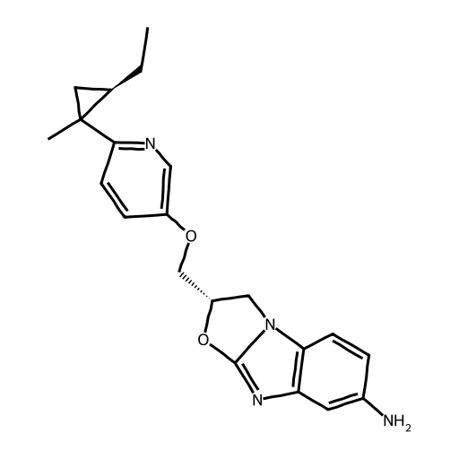 CC[C@@H]1CC1(C)c1ccc(OC[C@@H]2Cn3c(nc4cc(N)ccc43)O2)cn1